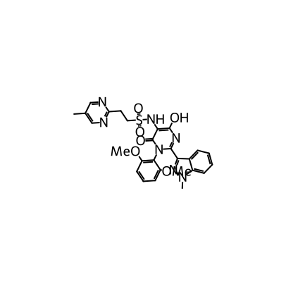 COc1cccc(OC)c1-n1c(-c2nn(C)c3ccccc23)nc(O)c(NS(=O)(=O)CCc2ncc(C)cn2)c1=O